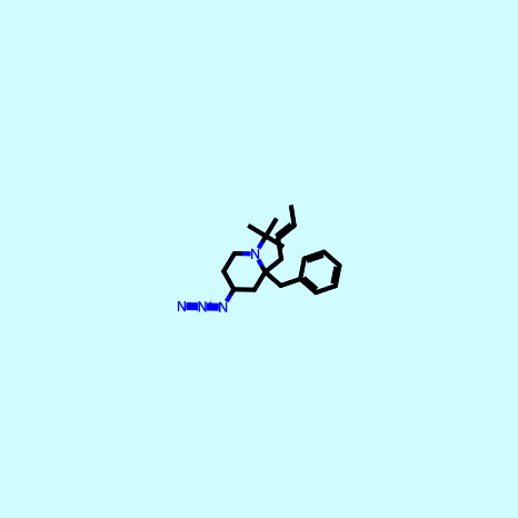 CC=CCC1(Cc2ccccc2)CC(N=[N+]=[N-])CCN1C(C)(C)C